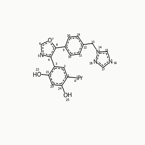 CC(C)c1cc(-c2ncoc2-c2ccc(Cn3cncn3)cc2)c(O)cc1O